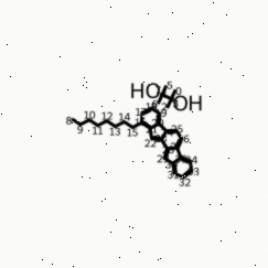 CC(C)(O)C(C)(C)O.CCCCCCCCc1cccc2c1C=c1c-2ccc2c1=Cc1ccccc1-2